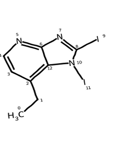 CCc1ccnc2nc(I)n(I)c12